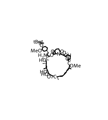 CO[C@H]1C[C@@H]2CC[C@@H](C)[C@@](O)(O2)C(=O)C(=O)N2CCCC[C@H]2C(=O)O[C@H]([C@H](N)C[C@@H]2CCC(O[Si](C)(C)C(C)(C)C)[C@H](OC)C2)C[C@@H](O)[C@H](C)/C=C(\C)[C@@H](O)[C@@H](O)C(=O)[C@H](C)C[C@H](C)/C=C/C=C/C=C/1C